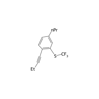 CCC#Cc1ccc(CCC)cc1SC(F)(F)F